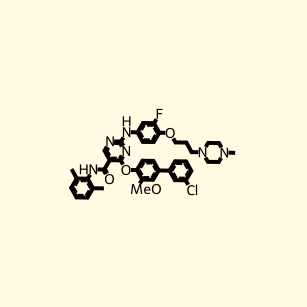 COc1cc(-c2cccc(Cl)c2)ccc1Oc1nc(Nc2ccc(OCCCN3CCN(C)CC3)c(F)c2)ncc1C(=O)Nc1c(C)cccc1C